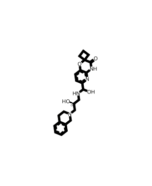 O=C1Nc2nc(C(O)NC[C@H](O)CN3CCc4ccccc4C3)ccc2OC12CCC2